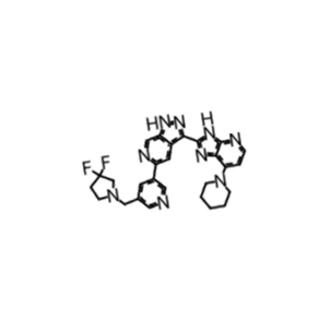 FC1(F)CCN(Cc2cncc(-c3cc4c(-c5nc6c(N7CCCCC7)ccnc6[nH]5)n[nH]c4cn3)c2)C1